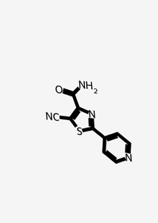 N#Cc1sc(-c2ccncc2)nc1C(N)=O